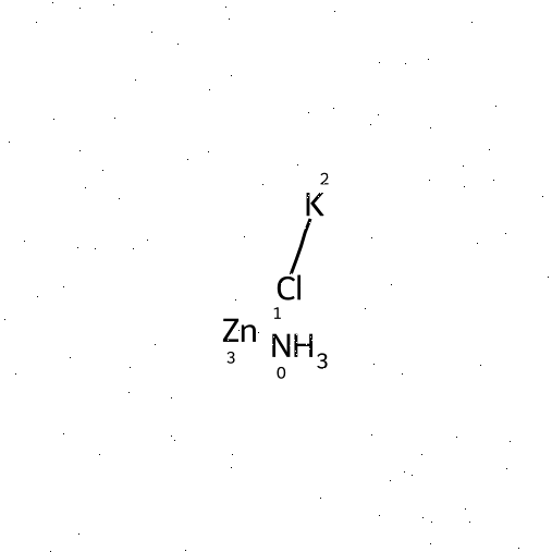 N.[Cl][K].[Zn]